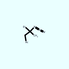 CCC(C)(CC(C)=O)N=[N+]=[N-]